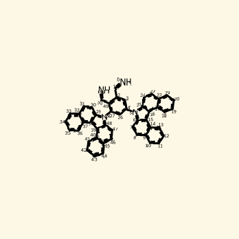 N=Cc1cc(-n2c3ccc4ccccc4c3c3c4ccccc4ccc32)cc(-n2c3ccc4ccccc4c3c3c4ccccc4ccc32)c1C=N